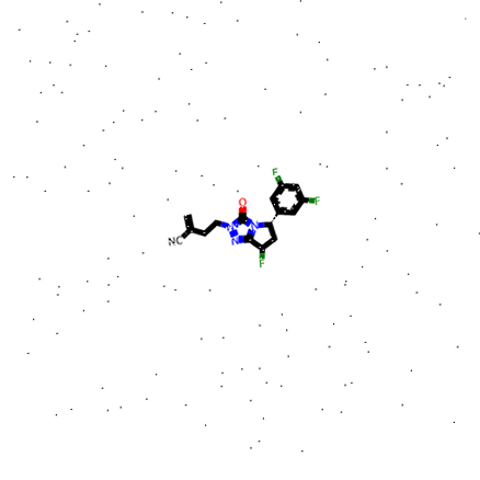 C=C(C#N)CCn1nc2n(c1=O)[C@H](c1cc(F)cc(F)c1)CC2F